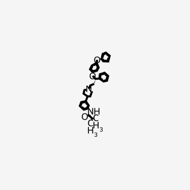 CC(C)C(=O)Nc1cccc(C2CCN(CC[C@H](Oc3ccc(Oc4ccccc4)cc3)c3ccccc3)CC2)c1